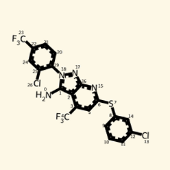 Nc1c2c(C(F)(F)F)cc(Sc3cccc(Cl)c3)nc2nn1-c1ccc(C(F)(F)F)cc1Cl